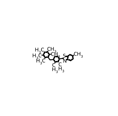 Cc1ccc2nc(-c3ccc(Cc4c(C)c(C)c(C)c(C)c4C)c(C)c3C)sc2c1